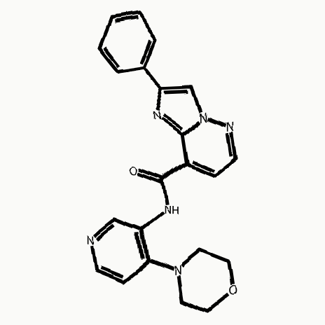 O=C(Nc1cnccc1N1CCOCC1)c1ccnn2cc(-c3ccccc3)nc12